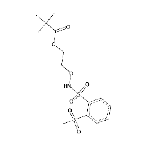 CC(C)(C)C(=O)OCCONS(=O)(=O)c1ccccc1S(C)(=O)=O